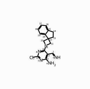 N=Cc1c(N)nc(Cl)nc1N1CC2(CCc3ccccc32)C1